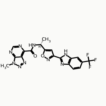 C[C@@H](NC(=O)c1ncnc2c1nnn2C)c1cc(-c2nc3ccc(C(F)(F)F)cc3[nH]2)no1